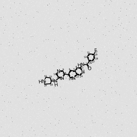 O=C(Nc1cc2cc(-c3cncc(NC4CCNCC4)n3)cnc2cn1)c1ccc(F)cc1